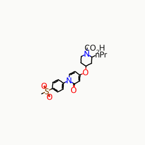 CCCC1CC(Oc2ccn(-c3ccc(S(C)(=O)=O)cc3)c(=O)c2)CCN1C(=O)O